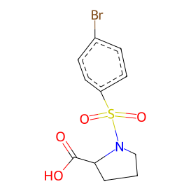 O=C(O)C1CCCN1S(=O)(=O)c1ccc(Br)cc1